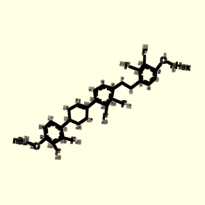 CCCCCCOc1ccc(CCc2ccc(C3=CCC(c4ccc(OCCCC)c(F)c4F)CC3)c(F)c2F)c(F)c1F